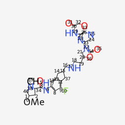 COC1CC(C(=O)Nc2cc(F)c3c(c2)CC(CNCCC2CN(c4cnc5c(n4)NC(=O)CO5)C(=O)O2)C3)N(C)C1